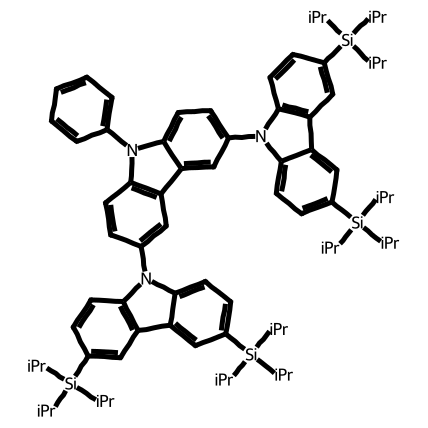 CC(C)[Si](c1ccc2c(c1)c1cc([Si](C(C)C)(C(C)C)C(C)C)ccc1n2-c1ccc2c(c1)c1cc(-n3c4ccc([Si](C(C)C)(C(C)C)C(C)C)cc4c4cc([Si](C(C)C)(C(C)C)C(C)C)ccc43)ccc1n2-c1ccccc1)(C(C)C)C(C)C